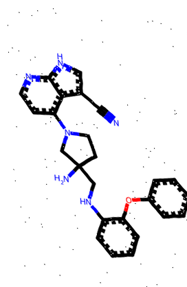 N#Cc1c[nH]c2nccc(N3CCC(N)(CNc4ccccc4Oc4ccccc4)C3)c12